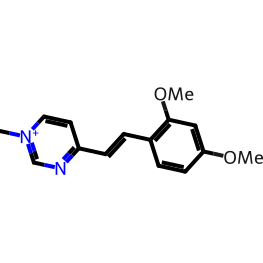 COc1ccc(/C=C/c2cc[n+](C)cn2)c(OC)c1